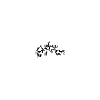 COc1cccc(S(=O)(=O)Nc2c(C)nc(-c3nccc(C(F)(F)F)n3)c(C#N)c2C)c1